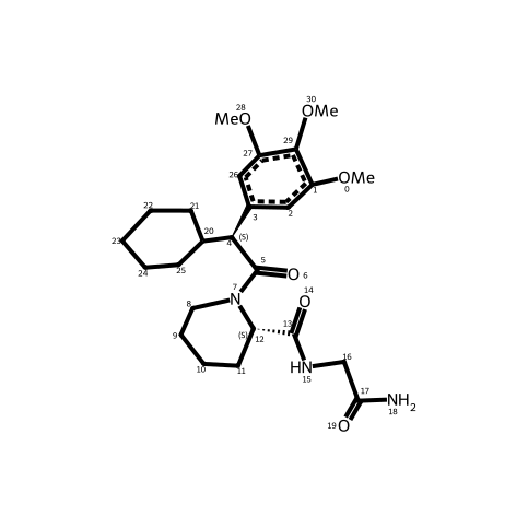 COc1cc([C@@H](C(=O)N2CCCC[C@H]2C(=O)NCC(N)=O)C2CCCCC2)cc(OC)c1OC